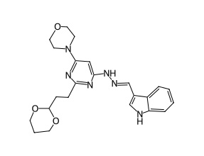 C(=NNc1cc(N2CCOCC2)nc(CCC2OCCCO2)n1)c1c[nH]c2ccccc12